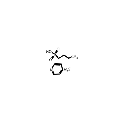 CCCCS(=O)(=O)O.S.c1ccncc1